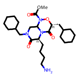 COC(=O)N1O[C@H](CC2CCCCC2)C(=O)N2C1CN(CC1CCCCC1)C(=O)[C@@H]2CCCCN